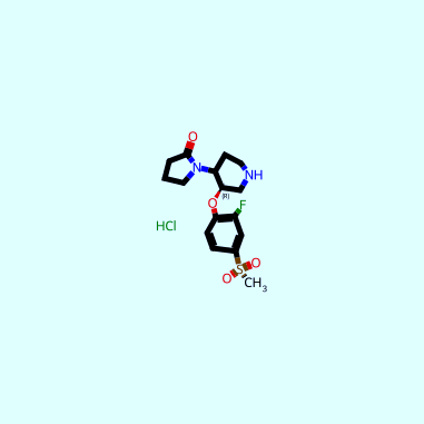 CS(=O)(=O)c1ccc(O[C@@H]2CNCCC2N2CCCC2=O)c(F)c1.Cl